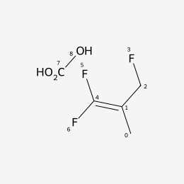 CC(CF)=C(F)F.O=C(O)O